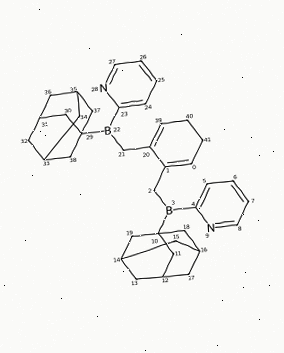 C1=C(CB(c2ccccn2)C23CC4CC(CC(C4)C2)C3)C(CB(c2ccccn2)C23CC4CC(CC(C4)C2)C3)=CCC1